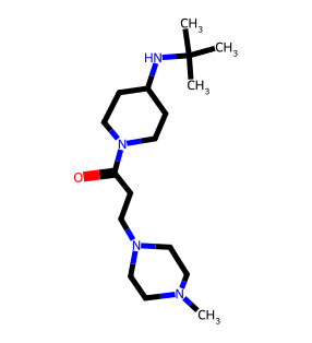 CN1CCN(CCC(=O)N2CCC(NC(C)(C)C)CC2)CC1